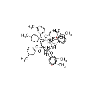 Cc1cccc(OP2(Oc3cccc(C)c3)=N[PH](Oc3cccc(C)c3)(Oc3cccc(C)c3)N[PH](Oc3cccc(C)c3)(Oc3cccc(C)c3)N[PH](Oc3cccc(C)c3)(Oc3cccc(C)c3)N2)c1